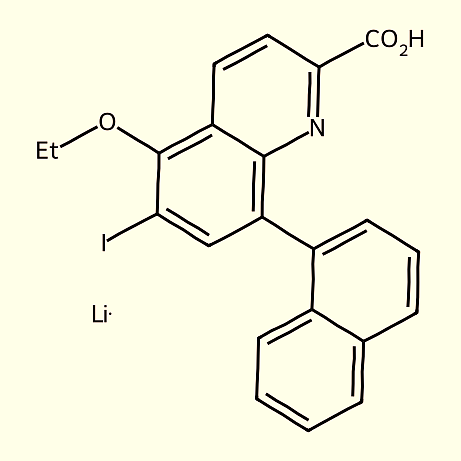 CCOc1c(I)cc(-c2cccc3ccccc23)c2nc(C(=O)O)ccc12.[Li]